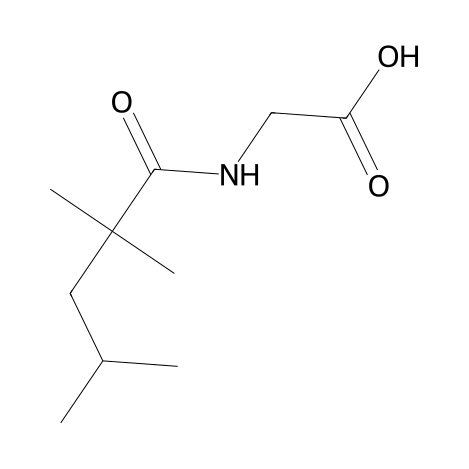 CC(C)CC(C)(C)C(=O)NCC(=O)O